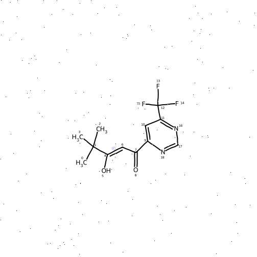 CC(C)(C)/C(O)=C/C(=O)c1cc(C(F)(F)F)ncn1